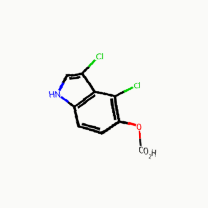 O=C(O)Oc1ccc2[nH]cc(Cl)c2c1Cl